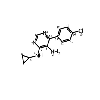 Nc1c(NC2CC2)ncnc1-c1ccc(Cl)cc1